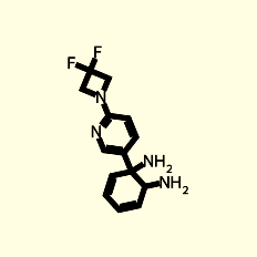 NC1C=CC=CC1(N)c1ccc(N2CC(F)(F)C2)nc1